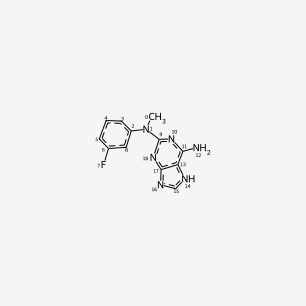 CN(c1cccc(F)c1)c1nc(N)c2[nH]cnc2n1